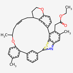 CCOC(=O)Cc1c(C)cc2nc3sc2c1-c1ccc2c(c1)C(C/C=C\CC(C)Oc1ccc(C)cc1-c1cccc-3c1)CCO2